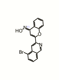 O/N=c1\cc(-c2cc3c(Br)cccc3cn2)oc2ccccc12